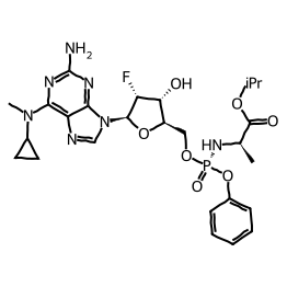 CC(C)OC(=O)[C@@H](C)N[P@](=O)(OC[C@H]1O[C@@H](n2cnc3c(N(C)C4CC4)nc(N)nc32)[C@H](F)[C@@H]1O)Oc1ccccc1